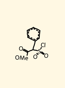 COC(=O)C(c1ccccc1)S(=O)(=O)Cl